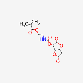 C=C(C)C(=O)OCCNC(=O)OC1C(=O)OC2CC(=O)OC21